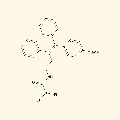 CCN(CC)C(=O)NCCC(=C(c1ccccc1)c1ccc(OC)cc1)c1ccccc1